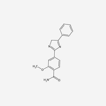 COc1cc(C2=NCC(c3ccccc3)=N2)ccc1C(N)=O